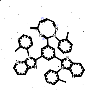 C=C1/C=C\C=N/N(c2ccccc2C)/C(c2cc(-c3nc4cccnc4n3-c3ccccc3C)cc(-c3nc4cccnc4n3-c3ccccc3C)c2)=N\1